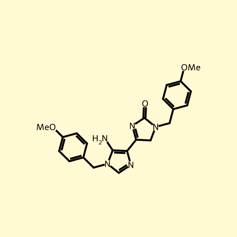 COc1ccc(CN2CC(c3ncn(Cc4ccc(OC)cc4)c3N)=NC2=O)cc1